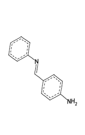 Nc1ccc(C=Nc2ccccc2)cc1